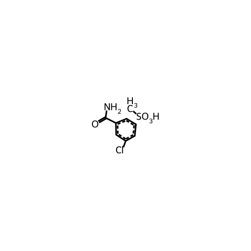 CS(=O)(=O)O.NC(=O)c1cccc(Cl)c1